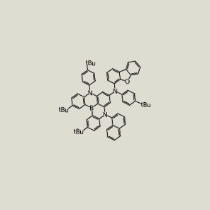 CC(C)(C)c1ccc(N2c3ccc(C(C)(C)C)cc3B3c4cc(C(C)(C)C)ccc4N(c4cccc5ccccc45)c4cc(N(c5ccc(C(C)(C)C)cc5)c5cccc6c5oc5ccccc56)cc2c43)cc1